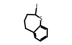 IC1CCCc2ccccc2S1